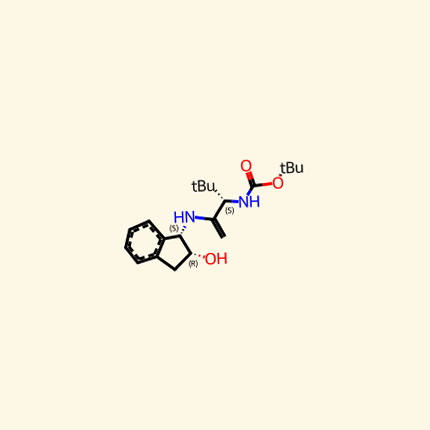 C=C(N[C@H]1c2ccccc2C[C@H]1O)[C@@H](NC(=O)OC(C)(C)C)C(C)(C)C